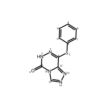 O=c1[nH]nc(Sc2ccccc2)c2nncn12